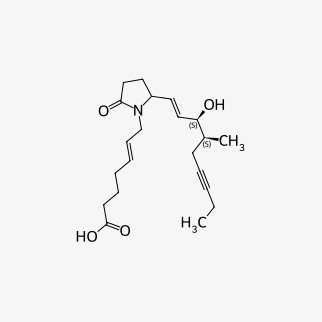 CCC#CC[C@H](C)[C@H](O)C=CC1CCC(=O)N1CC=CCCCC(=O)O